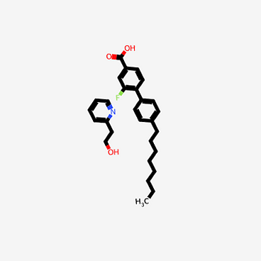 CCCCCCCCc1ccc(-c2ccc(C(=O)O)cc2F)cc1.OCCc1ccccn1